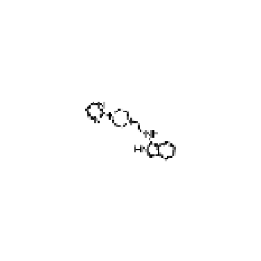 c1cnc(N2CCN(CCNc3[nH]cc4ccccc34)CC2)nc1